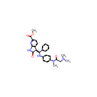 COC(=O)c1ccc2c(n1)NC(=O)/C2=C(\Nc1ccc(N(C)C(=O)CN(C)C)cc1)c1ccccc1